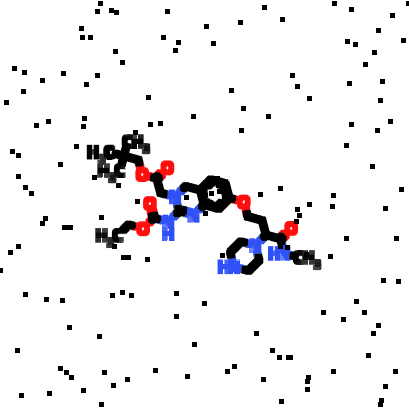 CCOC(=O)NC1=Nc2cc(OCCC(C(=O)NC)N3CCNCC3)ccc2CN1CC(=O)OCC(C)(C)C